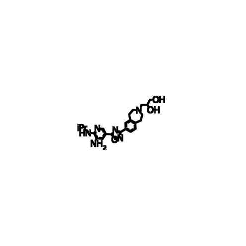 CC(C)Nc1ncc(-c2nc(-c3ccc4c(c3)CCN(C[C@H](O)CO)CC4)no2)cc1N